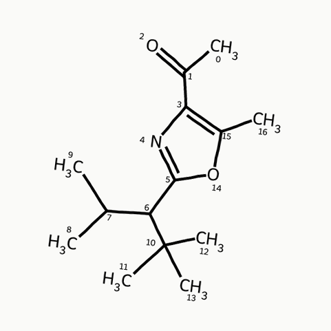 CC(=O)c1nc(C(C(C)C)C(C)(C)C)oc1C